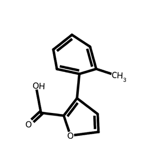 Cc1ccccc1-c1ccoc1C(=O)O